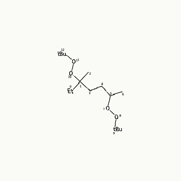 CCC(C)(CCC(C)OOC(C)(C)C)OOC(C)(C)C